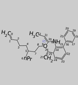 C=CCCCC(CCC)CCO/C(=C\C)NC1=C(c2ccccc2)C=C=CC1C=C